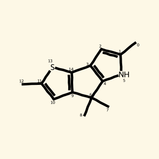 Cc1cc2c([nH]1)C(C)(C)c1cc(C)sc1-2